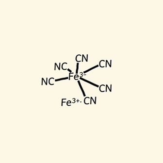 N#[C][Fe-3]([C]#N)([C]#N)([C]#N)([C]#N)[C]#N.[Fe+3]